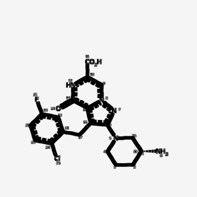 N[C@@H]1CCCN(c2nn3cc(C(=O)O)[nH]c(=O)c3c2Cc2cc(F)ccc2Cl)C1